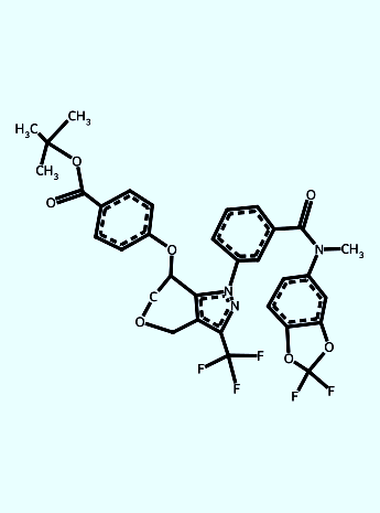 CN(C(=O)c1cccc(-n2nc(C(F)(F)F)c3c2C(Oc2ccc(C(=O)OC(C)(C)C)cc2)COC3)c1)c1ccc2c(c1)OC(F)(F)O2